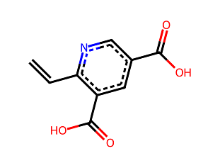 C=Cc1ncc(C(=O)O)cc1C(=O)O